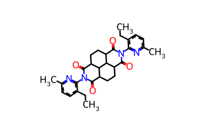 CCc1ccc(C)nc1N1C(=O)C2CCC3C(=O)N(c4nc(C)ccc4CC)C(=O)C4CCC(C1=O)C2C34